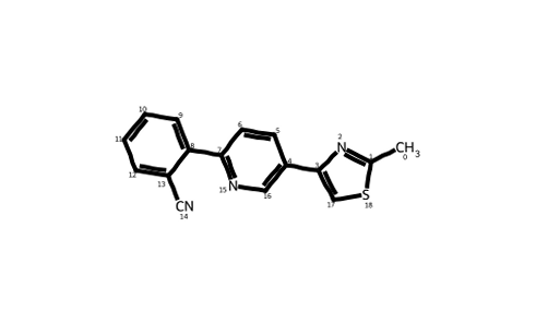 Cc1nc(-c2ccc(-c3ccccc3C#N)nc2)cs1